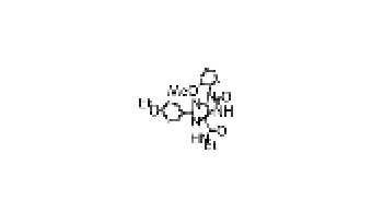 CCNC(=O)c1nc(-c2ccc(OCC)cc2)nc2c1[nH]c(=O)n2-c1ccccc1OC